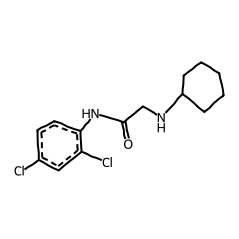 O=C(CNC1CCCCC1)Nc1ccc(Cl)cc1Cl